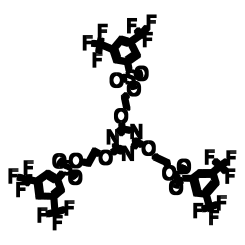 O=S(=O)(OCCOc1nc(OCCOS(=O)(=O)c2cc(C(F)(F)F)cc(C(F)(F)F)c2)nc(OCCOS(=O)(=O)c2cc(C(F)(F)F)cc(C(F)(F)F)c2)n1)c1cc(C(F)(F)F)cc(C(F)(F)F)c1